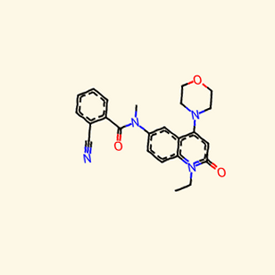 CCn1c(=O)cc(N2CCOCC2)c2cc(N(C)C(=O)c3ccccc3C#N)ccc21